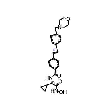 O=C(N[C@H](C(=O)NO)C1CC1)c1ccc(/C=C/c2ccc(CN3CCOCC3)cc2)cc1